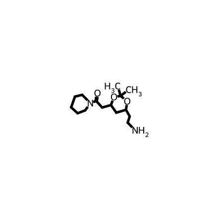 CC1(C)OC(CCN)CC(CC(=O)N2CCCCC2)O1